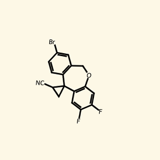 N#CC1CC12c1ccc(Br)cc1COc1cc(F)c(F)cc12